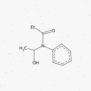 CCC(=O)N(c1ccccc1)C(C)O